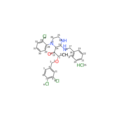 CC(OCc1ccc(Cl)c(Cl)c1)C(=O)C1C(NCc2ccccc2)NCCN1c1ccccc1Cl.Cl